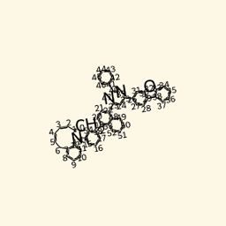 C=C1/C=C\C=C/Cc2ccccc2N1c1cccc(-c2ccc(-c3cc(-c4ccc5c(c4)oc4ccccc45)nc(-c4ccccc4)n3)c3ccccc23)c1